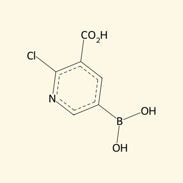 O=C(O)c1cc(B(O)O)cnc1Cl